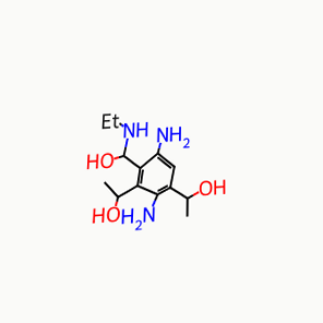 CCNC(O)c1c(N)cc(C(C)O)c(N)c1C(C)O